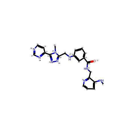 CNc1cccnc1CNC(=O)c1cccc(NCc2nnc(-c3ccncn3)n2C)c1